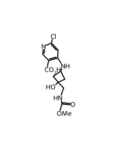 COC(=O)NCC1(O)CC(Nc2cc(Cl)ncc2C(=O)O)C1